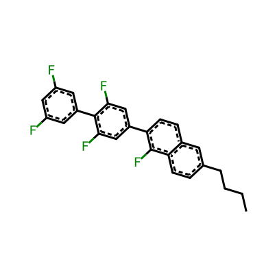 CCCCc1ccc2c(F)c(-c3cc(F)c(-c4cc(F)cc(F)c4)c(F)c3)ccc2c1